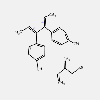 C/C=C(/C(=C/C)c1ccc(O)cc1)c1ccc(O)cc1.C=CC(=C)CO